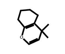 CC1(C)C=COC2=C1CCCC2